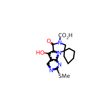 CSc1ncc2c(O)c3n(c2n1)C1(CCCCC1)CN(C(=O)O)C3=O